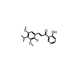 COc1cc(/C=C/C(=O)c2ccccc2O)c(F)c(OC)c1C(C)C